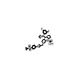 O=C(O)N[C@H]1CCC[C@@H]1[C@H](C1CCN(CC2CN(c3ccc(S(=O)(=O)C4CC4)cc3)C2)CC1)[C@@H](c1cc(F)cc(F)c1)N1CCC1